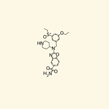 CCOc1cc(CN(c2nc3cc(S(N)(=O)=O)ccc3o2)C2CCNCC2)cc([S+]([O-])CC)c1